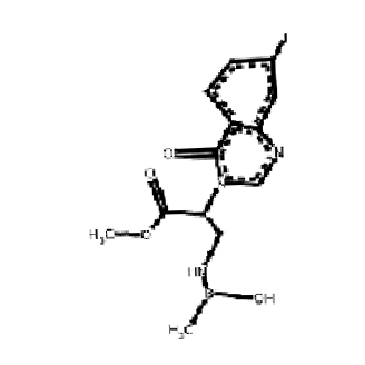 COC(=O)[C@H](CNB(C)O)n1cnc2cc(I)ccc2c1=O